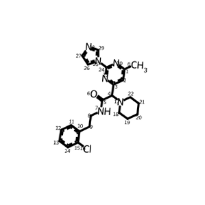 Cc1cc(C(C(=O)NCCc2ccccc2Cl)N2CCCCC2)nc(-n2ccnc2)n1